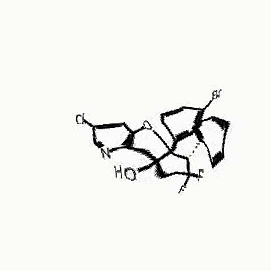 OC12CC(F)(F)[C@@H](c3ccccc3)C1(c1ccc(Br)cc1)Oc1cc(Cl)cnc12